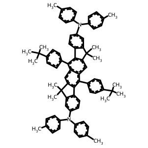 Cc1ccc(N(c2ccc(C)cc2)c2ccc3c(c2)C(C)(C)c2cc4c(-c5ccc(C(C)(C)C)cc5)c5c(cc4c(-c4ccc(C(C)(C)C)cc4)c2-3)C(C)(C)c2cc(N(c3ccc(C)cc3)c3ccc(C)cc3)ccc2-5)cc1